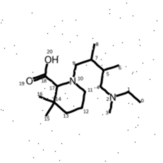 CCN(C)CC(C)C(C)CN1CCCC(C)(C)C1C(=O)O